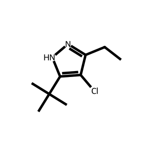 CCc1n[nH]c(C(C)(C)C)c1Cl